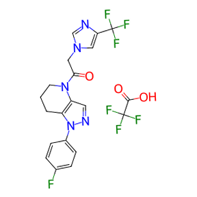 O=C(Cn1cnc(C(F)(F)F)c1)N1CCCc2c1cnn2-c1ccc(F)cc1.O=C(O)C(F)(F)F